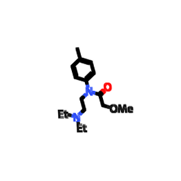 CCN(CC)CCN(C(=O)COC)c1ccc(C)cc1